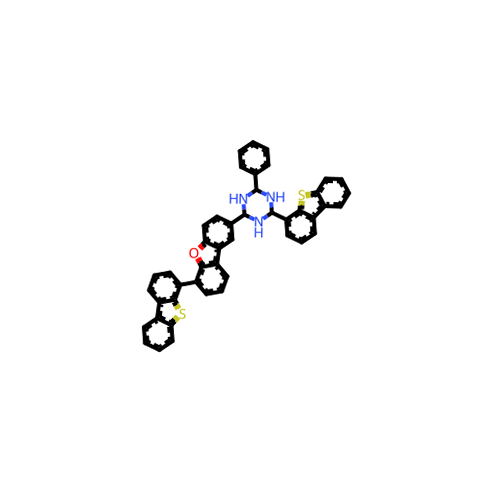 c1ccc(C2NC(c3ccc4oc5c(-c6cccc7c6sc6ccccc67)cccc5c4c3)NC(c3cccc4c3sc3ccccc34)N2)cc1